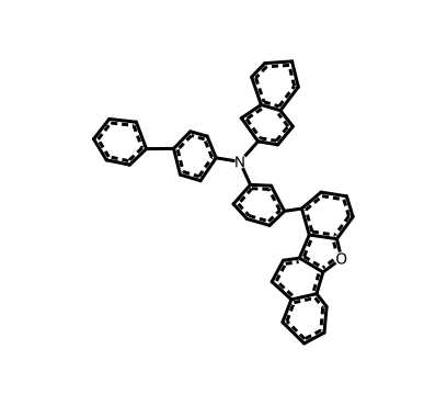 c1ccc(-c2ccc(N(c3cccc(-c4cccc5oc6c7ccccc7ccc6c45)c3)c3ccc4ccccc4c3)cc2)cc1